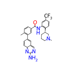 Cc1ccc(C(=O)Nc2cc(C(F)(F)F)ccc2[C@@H]2CCCN(C)C2)cc1-c1ccc2nc(N)ncc2c1